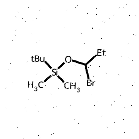 CCC(Br)O[Si](C)(C)C(C)(C)C